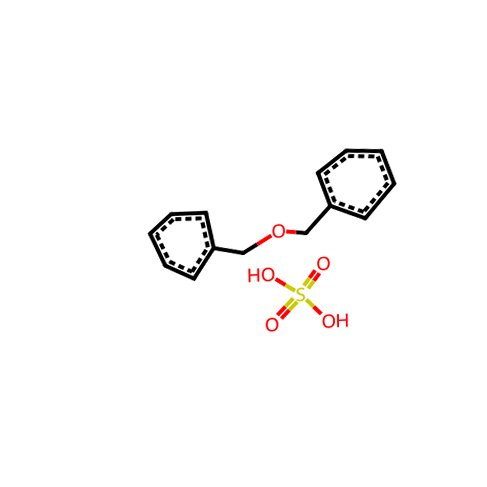 O=S(=O)(O)O.c1ccc(COCc2ccccc2)cc1